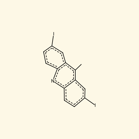 Cc1c2cc(I)ccc2nc2ccc(I)cc12